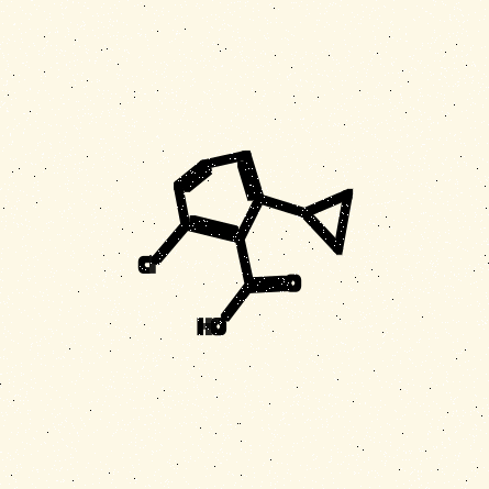 O=C(O)c1c(Cl)cccc1C1CC1